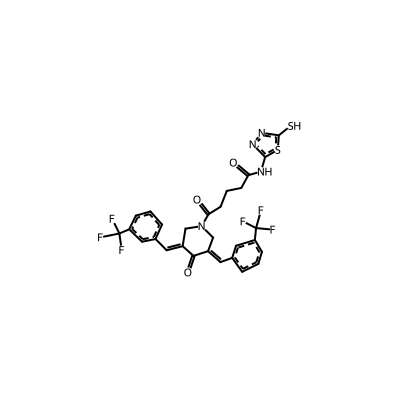 O=C(CCCC(=O)N1C/C(=C\c2cccc(C(F)(F)F)c2)C(=O)/C(=C/c2cccc(C(F)(F)F)c2)C1)Nc1nnc(S)s1